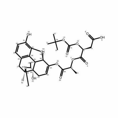 C[C@H](OC(=O)[C@H](CC(=O)O)OC(=O)OC(C)(C)C)C(=O)OC1=CC[C@@]2(O)[C@H]3Cc4ccc(O)c5c4[C@@]2(CCN3C)[C@H]1O5